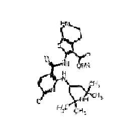 COC(=O)c1c(NC(=O)c2ccc(Cl)nc2NC2CC(C)(C)NC(C)(C)C2)sc2c1CCNC2